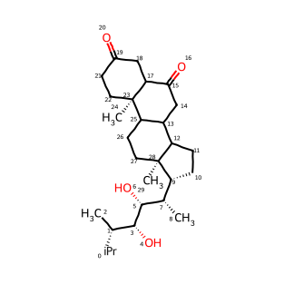 CC(C)[C@H](C)[C@@H](O)[C@H](O)[C@@H](C)[C@H]1CCC2C3CC(=O)C4CC(=O)CC[C@]4(C)C3CC[C@@]21C